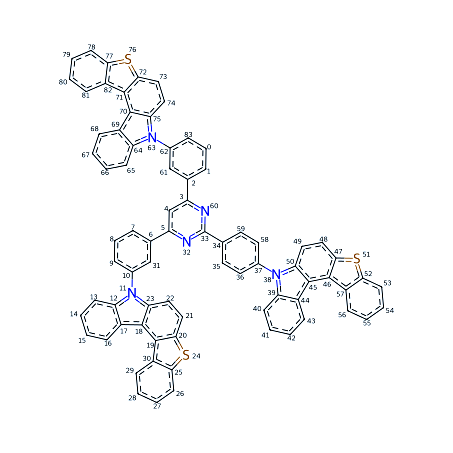 c1cc(-c2cc(-c3cccc(-n4c5ccccc5c5c6c(ccc54)sc4ccccc46)c3)nc(-c3ccc(-n4c5ccccc5c5c6c(ccc54)sc4ccccc46)cc3)n2)cc(-n2c3ccccc3c3c4c(ccc32)sc2ccccc24)c1